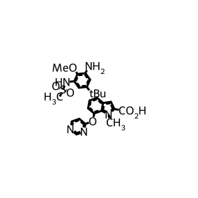 COc1c(N)cc(C(C)(C)C)cc1NS(C)(=O)=O.Cn1c(C(=O)O)cc2cccc(Oc3ccncn3)c21